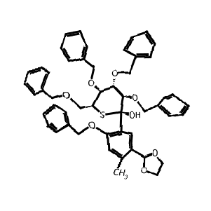 Cc1cc(OCc2ccccc2)c([C@]2(O)S[C@@H](COCc3ccccc3)[C@@H](OCc3ccccc3)[C@H](OCc3ccccc3)[C@H]2OCc2ccccc2)cc1C1OCCO1